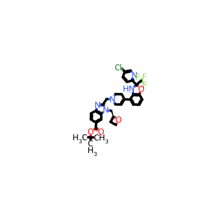 CC(C)(C)OC(=O)c1ccc2nc(CN3CC=C(c4cccc5c4NC(c4ccc(Cl)cn4)(C(F)(F)F)O5)CC3)n(C[C@@H]3CCO3)c2c1